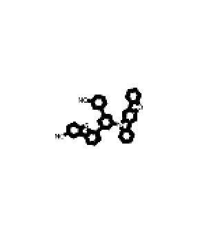 N#Cc1cccc(-c2cc(-c3cccc4c3sc3ccc(C#N)cc34)cc(-n3c4ccccc4c4cc5oc6ccccc6c5cc43)c2)c1